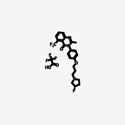 Cc1nc2cccc(C(F)(F)F)c2c(=O)n1-c1ccc(OCCCN2CC[C@@H](F)C2)cc1.O=C(O)C(F)(F)F